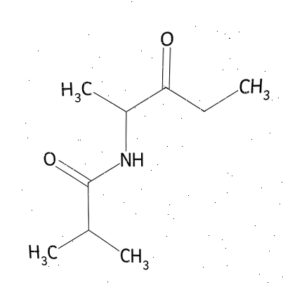 CCC(=O)C(C)NC(=O)C(C)C